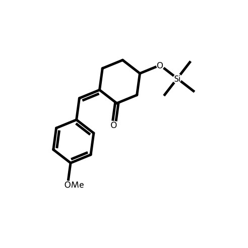 COc1ccc(/C=C2/CCC(O[Si](C)(C)C)CC2=O)cc1